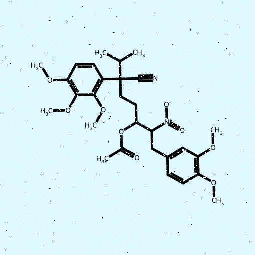 COc1ccc(CC(C(CCC(C#N)(c2ccc(OC)c(OC)c2OC)C(C)C)OC(C)=O)[N+](=O)[O-])cc1OC